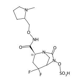 CN1CCCC1CONC(=O)[C@@H]1CC(F)(F)C2CN1C(=O)N2OS(=O)(=O)O